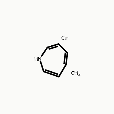 C.C1=CC=CNC=C1.[Cu]